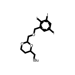 CC(C)(C)CC1CCOC(COCc2cc(I)cc(I)c2I)O1